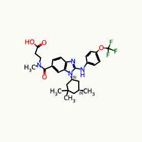 C[C@@H]1C[C@H](n2c(Nc3ccc(OC(F)(F)F)cc3)nc3ccc(C(=O)N(C)CCC(=O)O)cc32)CC(C)(C)C1